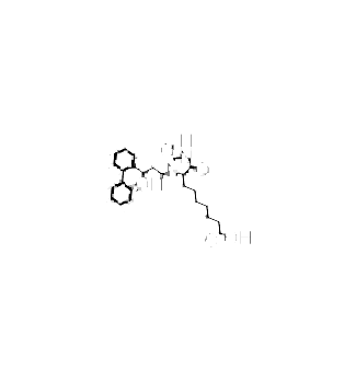 O=C(O)CCCCCCC1C(=O)NC(=O)N1CCC(O)c1ccccc1-c1ccccc1